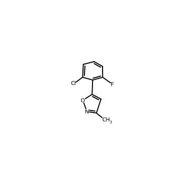 Cc1cc(-c2c(F)cccc2Cl)on1